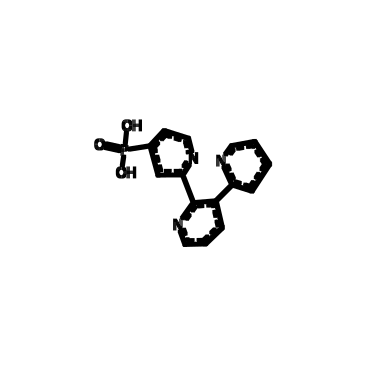 O=P(O)(O)c1ccnc(-c2ncccc2-c2ccccn2)c1